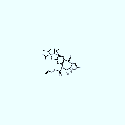 C=CCOC(=O)N1c2cc(O[Si](C(C)C)(C(C)C)C(C)C)c(OC)cc2C(=O)N2C=C(C)C[C@H]2[C@@H]1O